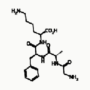 C[C@H](NC(=O)CN)C(=O)N[C@@H](Cc1ccccc1)C(=O)N[C@@H](CCCCN)C(=O)O